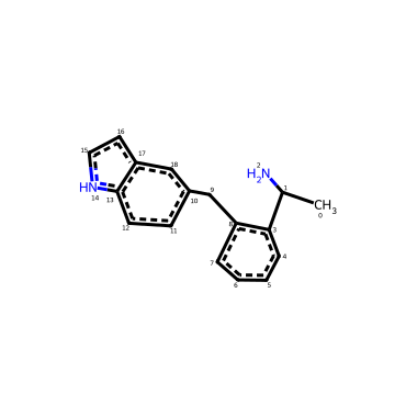 CC(N)c1ccccc1Cc1ccc2[nH]ccc2c1